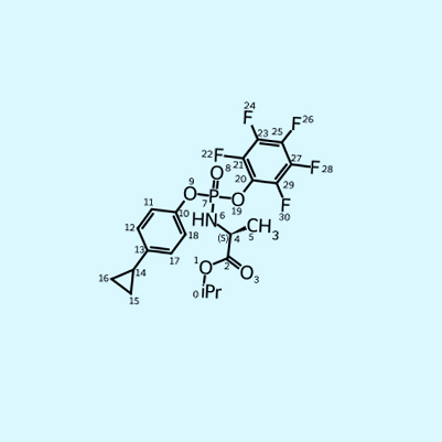 CC(C)OC(=O)[C@H](C)NP(=O)(Oc1ccc(C2CC2)cc1)Oc1c(F)c(F)c(F)c(F)c1F